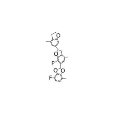 Cc1cc(C2Cc3c(C)cc(C4Oc5c(C)ccc(F)c5O4)c(F)c3O2)cc2c1CCO2